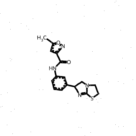 Cc1cc(C(=O)Nc2cccc(C3CN4CCSC4=N3)c2)no1